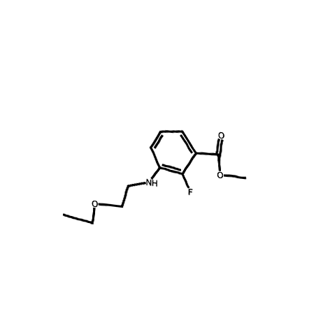 CCOCCNc1cccc(C(=O)OC)c1F